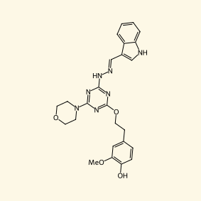 COc1cc(CCOc2nc(N/N=C/c3c[nH]c4ccccc34)nc(N3CCOCC3)n2)ccc1O